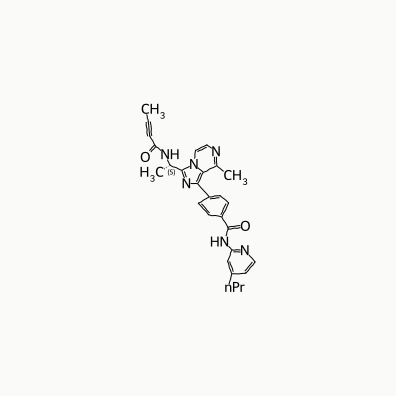 CC#CC(=O)N[C@@H](C)c1nc(-c2ccc(C(=O)Nc3cc(CCC)ccn3)cc2)c2c(C)nccn12